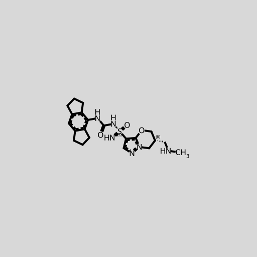 CNC[C@H]1COc2c([S@](=N)(=O)NC(=O)Nc3c4c(cc5c3CCC5)CCC4)cnn2C1